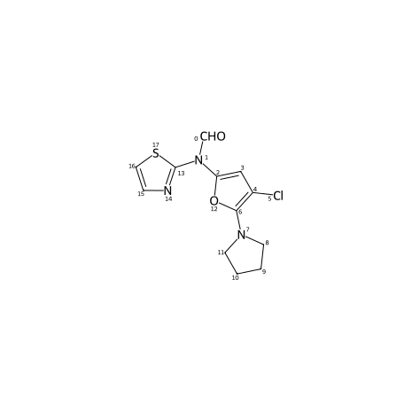 O=CN(c1cc(Cl)c(N2CCCC2)o1)c1nccs1